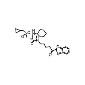 O=C(CCCCNC(=O)[C@H](CS(=O)(=O)CC1CC1)NC1CCCCC1)c1nc2ccccc2o1